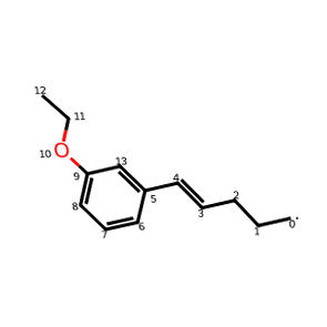 [CH2]CC/C=C/c1cccc(OCC)c1